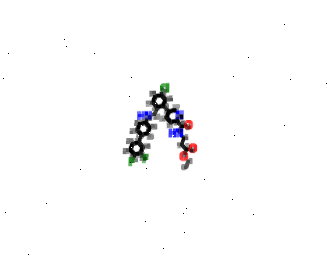 CCOC(=O)CCNC(=O)c1ccc(-c2cc(Cl)ccc2CNc2ccc(-c3ccc(F)c(F)c3)cc2)cn1